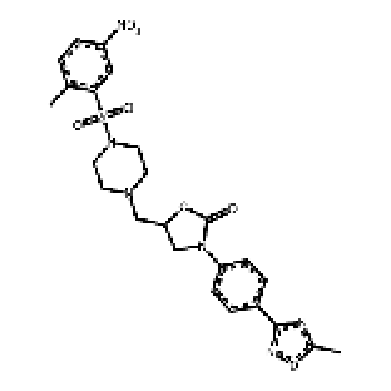 Cc1nc(-c2ccc(N3CC(CN4CCN(S(=O)(=O)c5cc([N+](=O)[O-])ccc5C)CC4)OC3=O)cc2)no1